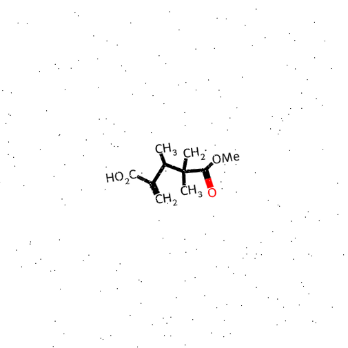 [CH2]C(C)(C(=O)OC)C(C)C(=C)C(=O)O